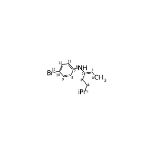 C/C=C(\CCC(C)C)Nc1ccc(Br)cc1